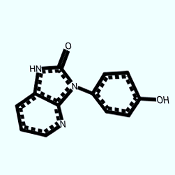 O=c1[nH]c2cccnc2n1-c1ccc(O)cc1